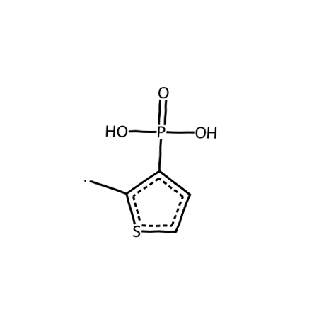 [CH2]c1sccc1P(=O)(O)O